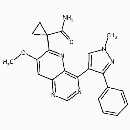 COc1cc2ncnc(-c3cn(C)nc3-c3ccccc3)c2nc1C1(C(N)=O)CC1